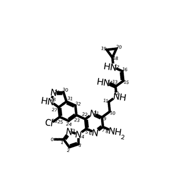 Cc1ccn(-c2nc(N)c(CCNC(=N)/C=C\NC3CC3)nc2-c2cc(Cl)c3[nH]ncc3c2)n1